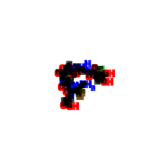 CC(C)(O/N=C(\C(=O)N[C@@H]1C(=O)N2C[C@@](C(=O)O)(N3CCN(NC(=O)CCNC(=O)C(=O)c4ccc(O)c(O)c4Cl)C3=O)S[C@H]12)c1nc(N)sc1Br)C(=O)O